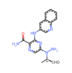 C[C@H](C=O)N(N)c1cnc(C(N)=O)c(Nc2cnc3ccccc3c2)n1